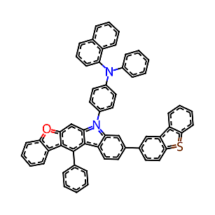 c1ccc(-c2c3c(cc4c2c2ccc(-c5ccc6sc7ccccc7c6c5)cc2n4-c2ccc(N(c4ccccc4)c4cccc5ccccc45)cc2)oc2ccccc23)cc1